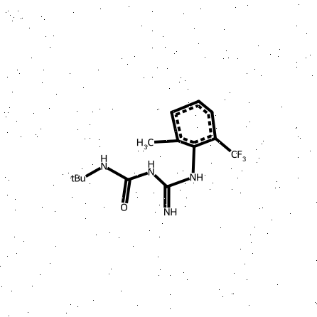 Cc1cccc(C(F)(F)F)c1NC(=N)NC(=O)NC(C)(C)C